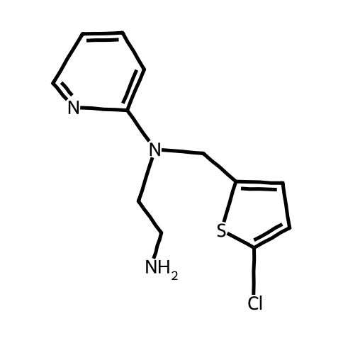 NCCN(Cc1ccc(Cl)s1)c1ccccn1